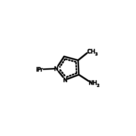 Cc1cn(C(C)C)nc1N